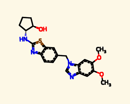 COc1cc2ncn(Cc3ccc4nc(N[C@@H]5CCC[C@H]5O)sc4c3)c2cc1OC